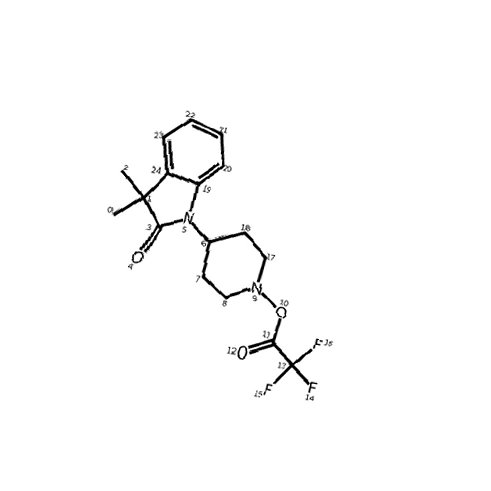 CC1(C)C(=O)N(C2CCN(OC(=O)C(F)(F)F)CC2)c2ccccc21